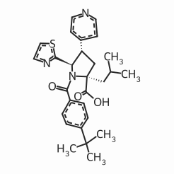 CC(C)C[C@@]1(C(=O)O)C[C@@H](c2ccncc2)[C@H](c2nccs2)N1C(=O)c1ccc(C(C)(C)C)cc1